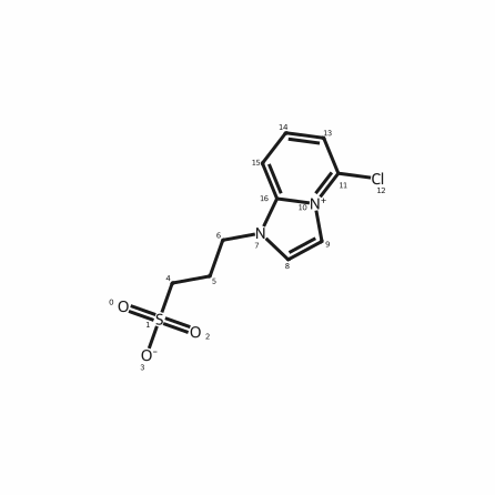 O=S(=O)([O-])CCCn1cc[n+]2c(Cl)cccc12